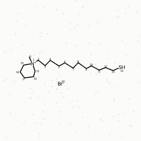 C[N+]1(CCCCCCCCCCCCS)CCCCC1.[Br-]